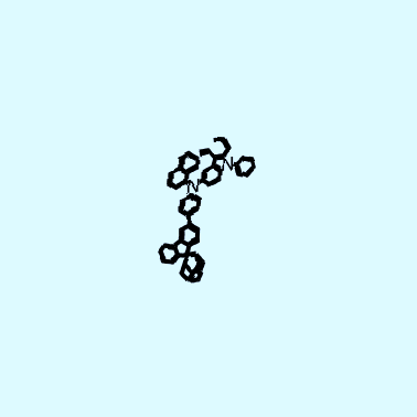 C=Cc1c(/C=C\C)n(-c2ccccc2)c2ccc(N(c3ccc(-c4ccc5c(c4)-c4ccccc4C54C5CC6CC(C5)CC4C6)cc3)c3cccc4ccccc34)cc12